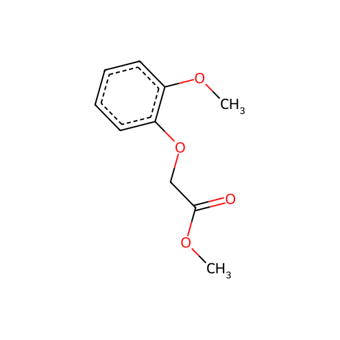 COC(=O)COc1ccccc1OC